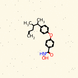 C=CCC(C)C(C)c1ccc(Oc2ccc(C(=O)NO)cc2)cc1